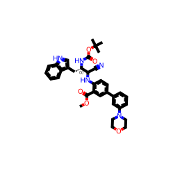 COC(=O)c1cc(-c2cccc(N3CCOCC3)c2)ccc1NC(C#N)[C@H](Cc1c[nH]c2ccccc12)NC(=O)OC(C)(C)C